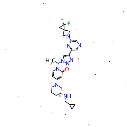 CC(n1cc(-c2cncc(N3CC4(C3)CC4(F)F)n2)nn1)n1ccc(N2CCC[C@@H](NCC3CC3)C2)cc1=O